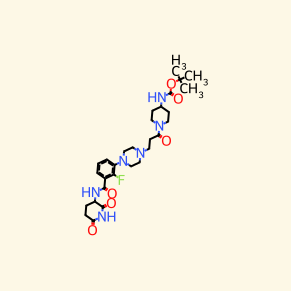 CC(C)(C)OC(=O)NC1CCN(C(=O)CCN2CCN(c3cccc(C(=O)NC4CCC(=O)NC4=O)c3F)CC2)CC1